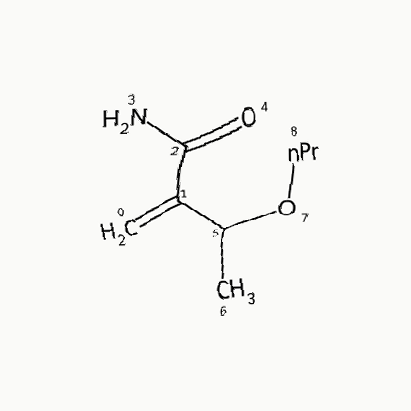 C=C(C(N)=O)C(C)OCCC